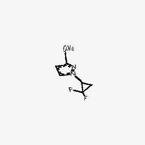 COc1ccn(C2CC2(F)F)n1